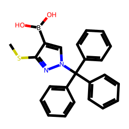 CSc1nn(C(c2ccccc2)(c2ccccc2)c2ccccc2)cc1B(O)O